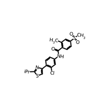 Cc1cc(S(C)(=O)=O)ccc1C(=O)Nc1ccc(-c2csc(C(C)C)n2)c(Cl)c1